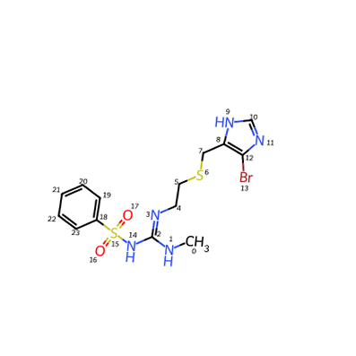 CNC(=NCCSCc1[nH]cnc1Br)NS(=O)(=O)c1ccccc1